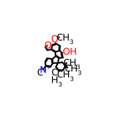 [C-]#[N+]c1ccc2c(c1)C1(CC(C)(C)CC(C)(C)C1)c1cc(O)c3cc(OC)c4c(c3c1-2)CCO4